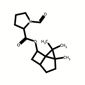 CC1(C)C2(C)CCC3CC(OC(=O)C4CCCN4C=O)C312